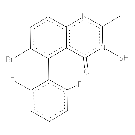 Cc1nc2ccc(Br)c(-c3c(F)cccc3F)c2c(=O)n1S